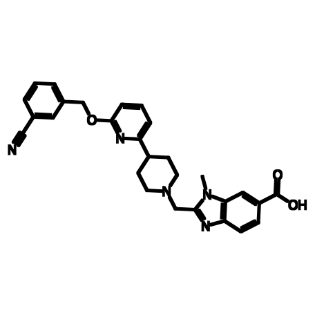 Cn1c(CN2CCC(c3cccc(OCc4cccc(C#N)c4)n3)CC2)nc2ccc(C(=O)O)cc21